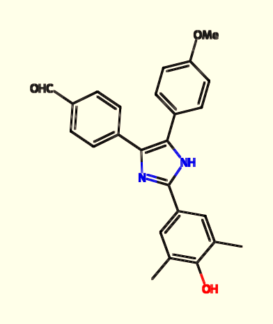 COc1ccc(-c2[nH]c(-c3cc(C)c(O)c(C)c3)nc2-c2ccc(C=O)cc2)cc1